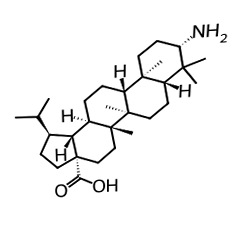 CC(C)[C@@H]1CC[C@]2(C(=O)O)CC[C@]3(C)[C@H](CC[C@@H]4[C@@]5(C)CC[C@H](N)C(C)(C)[C@@H]5CC[C@]43C)[C@@H]12